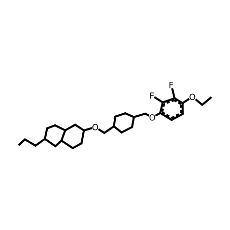 CCCC1CCC2CC(OCC3CCC(COc4ccc(OCC)c(F)c4F)CC3)CCC2C1